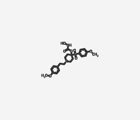 COc1ccc(CCN2CCC(OC(=O)NO)(S(=O)(=O)c3ccc(OC)cc3)CC2)cc1